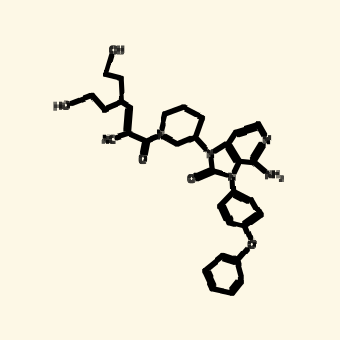 N#CC(=CC(CCO)CCO)C(=O)N1CCCC(n2c(=O)n(-c3ccc(Oc4ccccc4)cc3)c3c(N)nccc32)C1